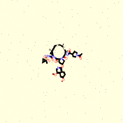 COc1ccc2c(O[C@@H]3C[C@H]4C(=O)N[C@]5(C(=O)NS(=O)(=O)C6(C)CC6)C[C@H]5/C=C\CC[C@@H](C)C[C@@H](C)[C@H](NC(=O)C5CCN(C(C)=O)CC5)C(=O)N4C3)ncc(OC)c2c1